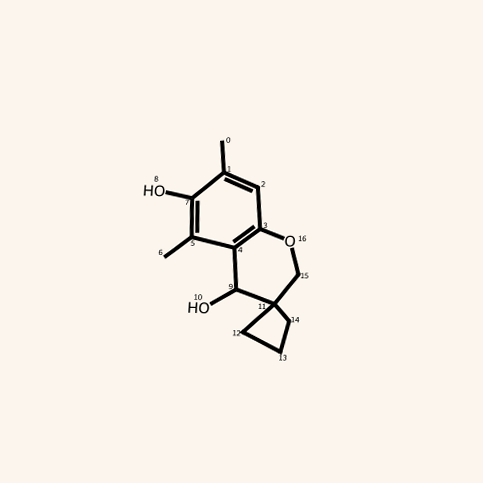 Cc1cc2c(c(C)c1O)C(O)C1(CCC1)CO2